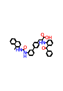 Cc1c(NC(=O)Nc2cccc(-c3ccc(CC(Nc4ccccc4C(=O)c4ccccc4)C(=O)O)cc3)c2)ccc2ccccc12